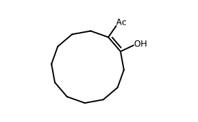 CC(=O)/C1=C(\O)CCCCCCCCCC1